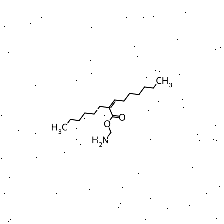 CCCCCCC=C(CCCCCC)C(=O)OCN